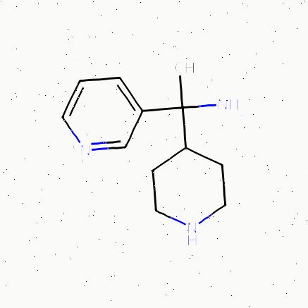 CC(N)(c1cccnc1)C1CCNCC1